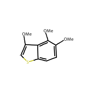 COc1ccc2s[c]c(OC)c2c1OC